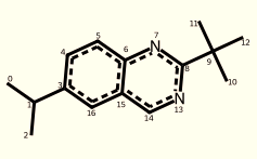 CC(C)c1ccc2nc(C(C)(C)C)ncc2c1